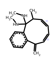 C=C1/C=C\C=C/C(C)C(NC)(NC)c2ccccc21